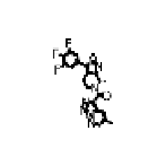 Cc1cnn2nnc(C(=O)N3CCc4c(nn(C)c4-c4cc(F)c(F)c(F)c4)[C@@H]3C)c2c1